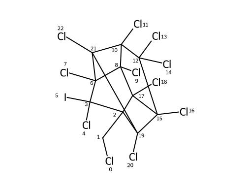 ClCC12C(Cl)(I)C3(Cl)C4(Cl)C5(Cl)C(Cl)(Cl)C(Cl)(C41Cl)C2(Cl)C53Cl